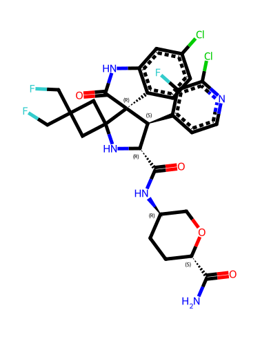 NC(=O)[C@@H]1CC[C@@H](NC(=O)[C@@H]2NC3(CC(CF)(CF)C3)[C@@]3(C(=O)Nc4cc(Cl)ccc43)[C@H]2c2ccnc(Cl)c2F)CO1